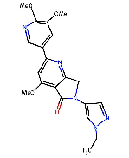 COc1cc(-c2cc(OC)c3c(n2)CN(c2cnn(CC(F)(F)F)c2)C3=O)cnc1OC